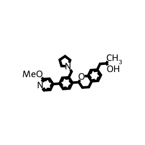 COc1cc(-c2ccc(C3CCc4ccc(CC(C)O)cc4O3)c(CN3CCCC3)c2)ccn1